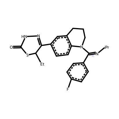 CCC1SC(=O)NN=C1c1ccc2c(c1)CCCN2/C(=N\C(C)C)c1ccc(F)cc1